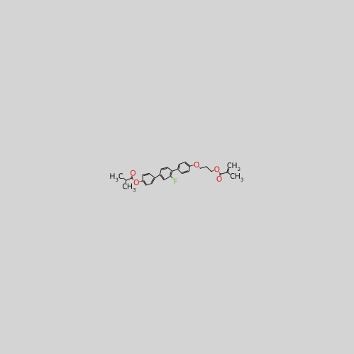 C=C(C)C(=O)OCCCOc1ccc(-c2ccc(-c3ccc(OC(=O)C(C)C)cc3)cc2F)cc1